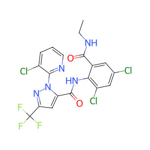 CCNC(=O)c1cc(Cl)cc(Cl)c1NC(=O)c1cc(C(F)(F)F)nn1-c1ncccc1Cl